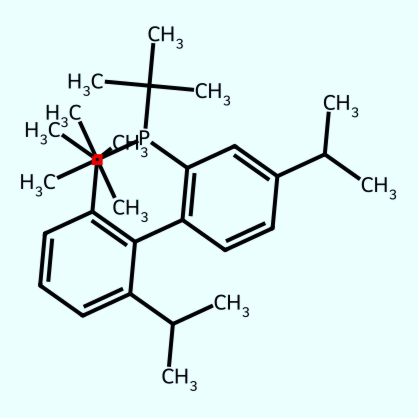 CC(C)c1ccc(-c2c(C(C)C)cccc2C(C)C)c(P(C(C)(C)C)C(C)(C)C)c1